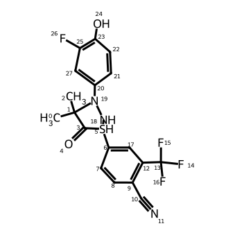 CC1(C)C(=O)[SH](c2ccc(C#N)c(C(F)(F)F)c2)NN1c1ccc(O)c(F)c1